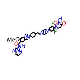 COc1cc2nn(C3CCC(CCN4CCN(c5cc(F)c(N6CCC(=O)NC6=O)c(F)c5)CC4)CC3)cc2cc1C(=O)Nc1cnc2cccnn12